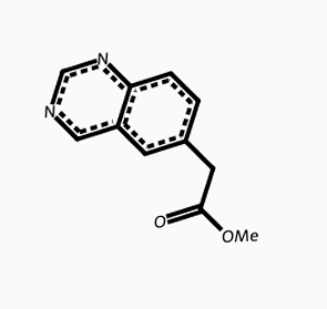 COC(=O)Cc1ccc2ncncc2c1